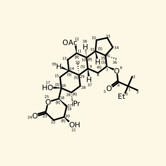 CCC(C)(C)C(=O)O[C@H]1C[C@H]2[C@@H]([C@H](OC(C)=O)C[C@H]3C[C@@](O)([C@H]4C[C@@H](O)CC(=O)O4)[C@@H](C(C)C)C[C@@]32C)[C@@H]2CCC[C@@]12C